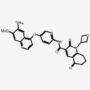 COc1cc2nccc(Oc3ccc(NC(=O)c4cc5c(n(C6COC6)c4=O)CCCC5=O)nc3)c2cc1OC